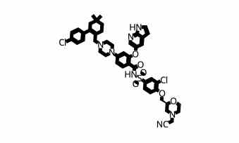 CC1(C)CCC(CN2CCN(c3ccc(C(=O)NS(=O)(=O)c4ccc(OC[C@@H]5CN(CC#N)CCO5)c(Cl)c4)c(Oc4cnc5[nH]ccc5c4)c3)CC2)=C(c2ccc(Cl)cc2)C1